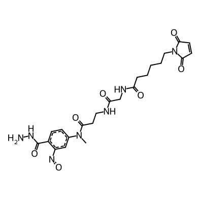 CN(C(=O)CCNC(=O)CNC(=O)CCCCCN1C(=O)C=CC1=O)c1ccc(C(=O)NN)c(N=O)c1